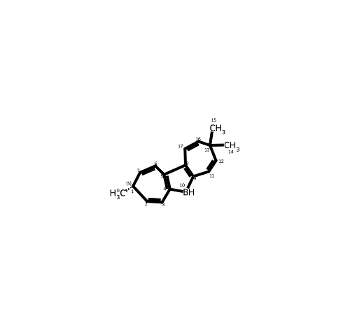 C[C@H]1C=CC2=C(C=C1)C1=C(B2)C=CC(C)(C)C=C1